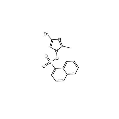 CCc1cn(OS(=O)(=O)c2cccc3ccccc23)c(C)n1